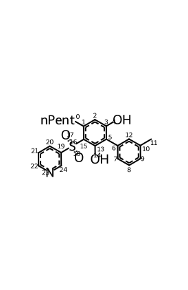 CCCCCc1cc(O)c(-c2cccc(C)c2)c(O)c1S(=O)(=O)c1cccnc1